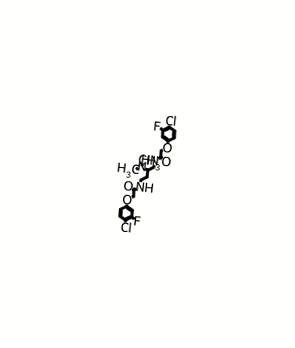 CN(C)C(CCNC(=O)COc1ccc(Cl)c(F)c1)CNC(=O)COc1ccc(Cl)c(F)c1